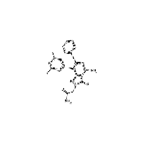 Cc1cc(-c2c(-c3ccccc3)nc(N)n3c(=O)n(CC(N)=O)nc23)cc(C)n1